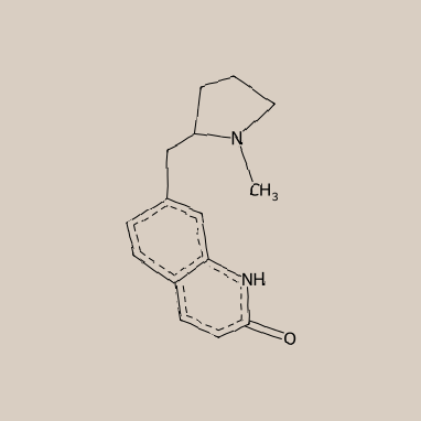 CN1CCCC1Cc1ccc2ccc(=O)[nH]c2c1